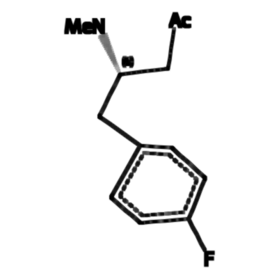 CN[C@H](CC(C)=O)Cc1ccc(F)cc1